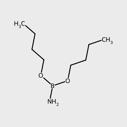 CCCCOB(N)OCCCC